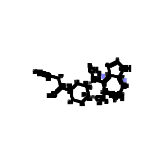 C=N/C(=C1/C=CN/C1=N/C)N(C)[C@H]1CN(C(=O)CC#N)CC[C@H]1C